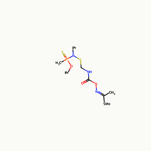 CSC(C)=NOC(=O)NCSN(C(C)C)P(C)(=S)OC(C)C